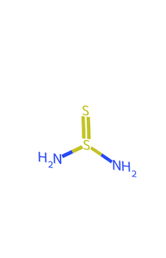 NS(N)=S